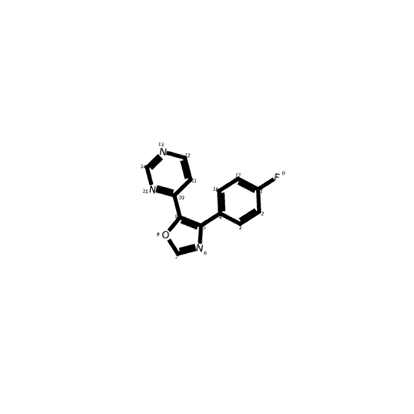 Fc1ccc(-c2ncoc2-c2ccncn2)cc1